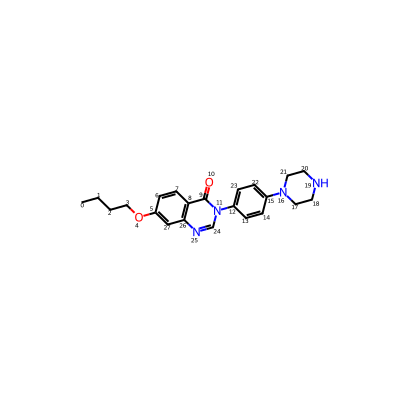 CCCCOc1ccc2c(=O)n(-c3ccc(N4CCNCC4)cc3)cnc2c1